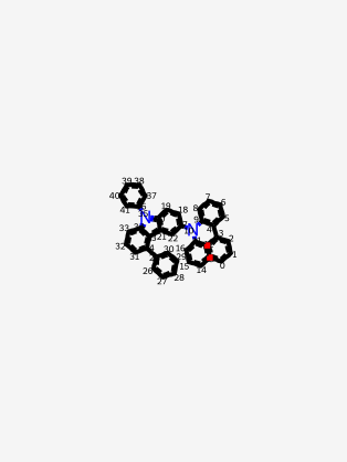 c1ccc(-c2ccccc2N(c2ccccc2)c2ccc3c(c2)c2c(-c4ccccc4)cccc2n3-c2ccccc2)cc1